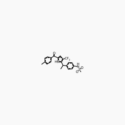 Cc1ccc(C(=O)c2cc(C(F)(F)F)c(C(C)c3ccc(NS(C)(=O)=O)cc3)[nH]2)cc1